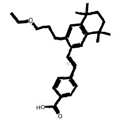 CCOCCCc1cc2c(cc1/C=C/c1ccc(C(=O)O)cc1)C(C)(C)CCC2(C)C